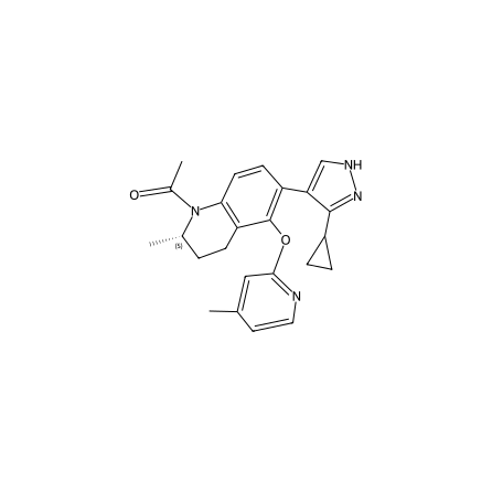 CC(=O)N1c2ccc(-c3c[nH]nc3C3CC3)c(Oc3cc(C)ccn3)c2CC[C@@H]1C